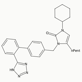 CCCCCc1cn(C2CCCCC2)c(=O)n1Cc1ccc(-c2ccccc2-c2nnn[nH]2)cc1